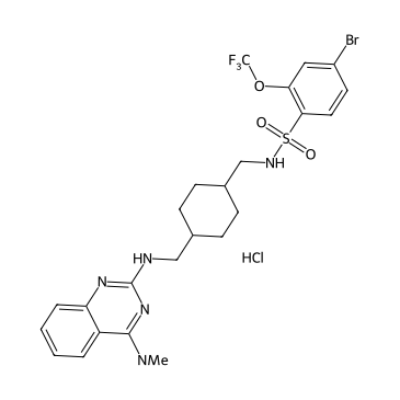 CNc1nc(NCC2CCC(CNS(=O)(=O)c3ccc(Br)cc3OC(F)(F)F)CC2)nc2ccccc12.Cl